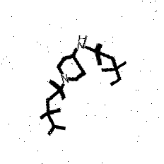 CCC(C)(C)CC(C)(C)NC1CCN(C(C)(C)CC(C)(C)C(C)C)CC1